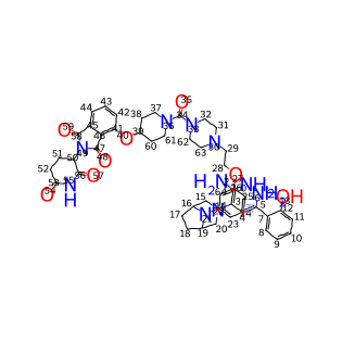 NC(N)=C(/C=C(\N)c1ccccc1O)N1CC2CCC(C1)N2c1cccc(OCCN2CCN(C(=O)N3CCC(Oc4cccc5c4C(=O)N(C4CCC(=O)NC4=O)C5=O)CC3)CC2)c1